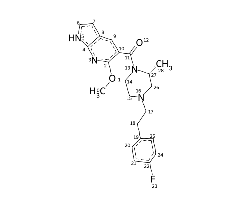 COc1nc2[nH]ccc2cc1C(=O)N1CCN(CCc2ccc(F)cc2)C[C@H]1C